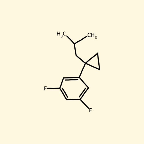 CC(C)CC1(c2cc(F)cc(F)c2)CC1